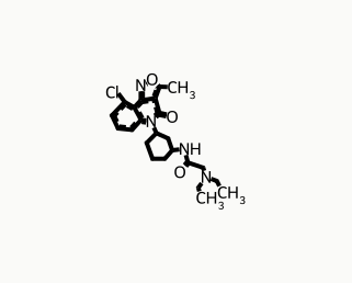 CCN(CC)CC(=O)NC1CCCC(n2c(=O)c3c(C)onc3c3c(Cl)cccc32)C1